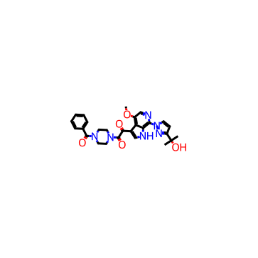 COc1cnc(-n2ccc(C(C)(C)O)n2)c2[nH]cc(C(=O)C(=O)N3CCN(C(=O)c4ccccc4)CC3)c12